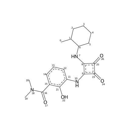 CC1CCCCC1Nc1c(Nc2cccc(C(=O)N(C)C)c2O)c(=O)c1=O